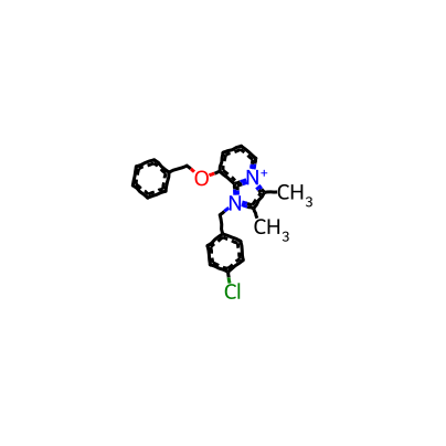 Cc1c(C)[n+]2cccc(OCc3ccccc3)c2n1Cc1ccc(Cl)cc1